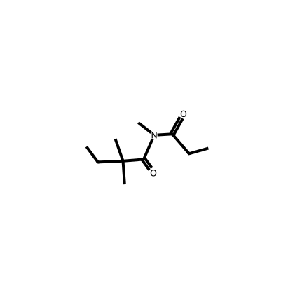 CCC(=O)N(C)C(=O)C(C)(C)CC